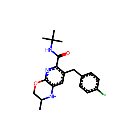 CC1COc2nc(C(=O)NC(C)(C)C)c(Cc3ccc(F)cc3)cc2N1